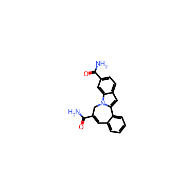 NC(=O)C1=Cc2ccccc2-c2cc3ccc(C(N)=O)cc3n2C1